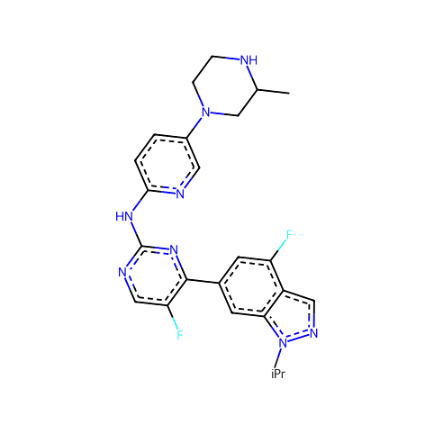 CC1CN(c2ccc(Nc3ncc(F)c(-c4cc(F)c5cnn(C(C)C)c5c4)n3)nc2)CCN1